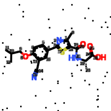 Cc1nc(-c2ccc(OCC(C)C)c(C#N)c2)sc1C(=O)N[C@@H](C)C(=O)O